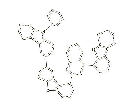 c1ccc(-n2c3ccccc3c3cc(-c4ccc5oc6cccc(-c7nc(-c8cccc9c8oc8ccccc89)c8ccccc8n7)c6c5c4)ccc32)cc1